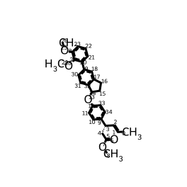 CC=C[C@H](CC(=O)OC)c1ccc(OC2CCc3cc(-c4cccc(OC)c4OC)ccc32)cc1